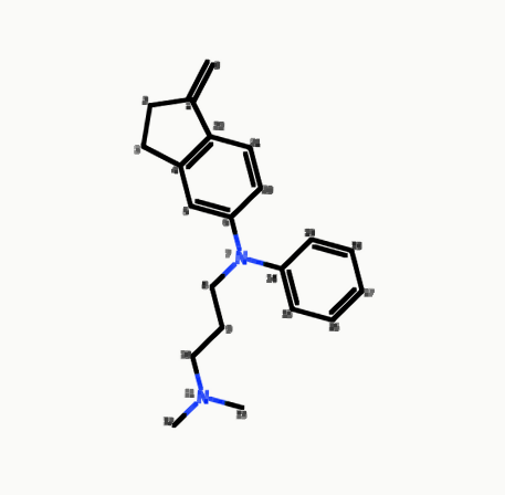 C=C1CCc2cc(N(CCCN(C)C)c3ccccc3)ccc21